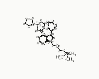 C[Si](C)(C)CCOCn1cc(-c2cncnc2)c2c(N3CCC[C@H](N4CCCC4)C3)ccnc21